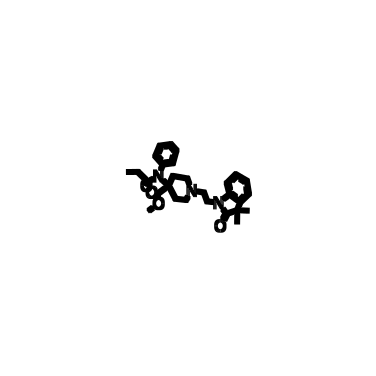 CCC(=O)N(c1ccccc1)C1(C(=O)OC)CCN(CCN2C(=O)C(C)(C)c3ccccc32)CC1